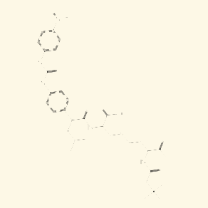 CC(C)CC(C(=O)NC(CNCCC(NC(=O)CC(C)(C)C)C(=O)O)C(=O)O)c1ccc(NC(=O)Nc2ccc([N+](=O)[O-])cc2)cc1